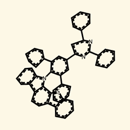 c1ccc(-c2cc(-c3cc(-c4ccccc4)c(-n4c5ccccc5c5ccc6c7ccccc7sc6c54)c(-c4ccccc4)c3)nc(-c3ccccc3)n2)cc1